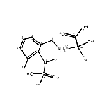 Cc1cccc(CN)c1N(C)S(C)(=O)=O.O=C(O)C(F)(F)F